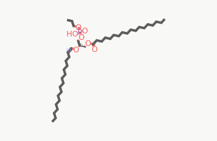 CCCCCCCCCCCCCCCC/C=C\O[C@H](COC(=O)CCCCCCCCCCCCCCCCC)COP(=O)(O)OCCC